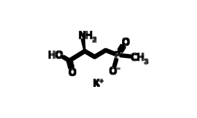 CP(=O)([O-])CC[C@H](N)C(=O)O.[K+]